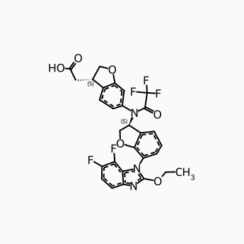 CCOc1nc2ccc(F)c(F)c2n1-c1cccc2c1OC[C@H]2N(C(=O)C(F)(F)F)c1ccc2c(c1)OC[C@H]2CC(=O)O